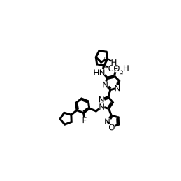 O=C(O)[C@@]1(Nc2nc(-c3cc(-c4ccon4)n(Cc4cccc(C5CCCC5)c4F)n3)ncc2F)CC2CC[C@H]1C2